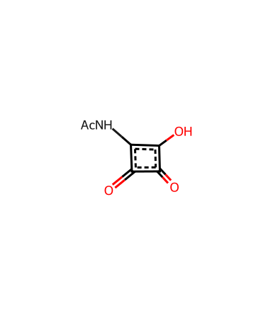 CC(=O)Nc1c(O)c(=O)c1=O